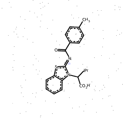 Cc1ccc(C(=O)/N=c2\sc3ccccc3n2C(C(=O)O)C(C)C)cc1